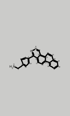 NCc1ccc(-c2nncc3c2ccc2c4ccccc4ccc32)cc1